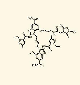 C=C(N)c1cc(OCCCNC(=O)CN2C(=O)CC(S)C2=O)c2c(c1)nc(NC(=O)c1cc(C)nn1CC)n2C/C=C/Cn1c(NC(=O)c2cc(C)nn2CC)nc2cc(C(N)=O)cc(OC)c21